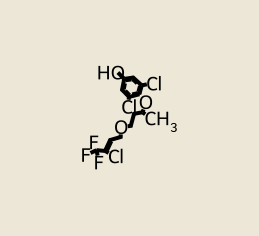 CC(CCOC/C=C(\Cl)C(F)(F)F)Oc1c(Cl)cc(O)cc1Cl